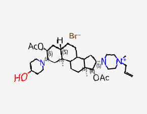 C=CC[N+]1(C)CCN([C@H]2CC3C4CC[C@H]5C[C@H](OC(C)=O)[C@@H](N6CCC(O)CC6)C[C@]5(C)C4CC[C@]3(C)[C@H]2OC(C)=O)CC1.[Br-]